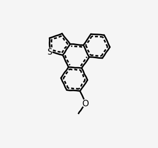 COc1ccc2c(c1)c1ccccc1c1ccsc12